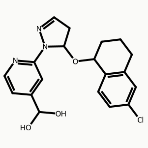 OC(O)c1ccnc(N2N=CCC2OC2CCCc3cc(Cl)ccc32)c1